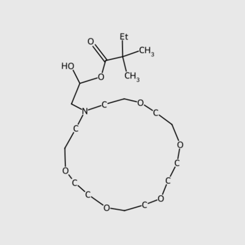 CCC(C)(C)C(=O)OC(O)CN1CCOCCOCCOCCOCCOCC1